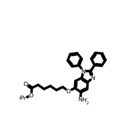 CC(C)OC(=O)CCCCCOc1cc2c(cc1N)nc(-c1ccccc1)n2-c1ccccc1